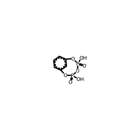 O=P1(O)Oc2cccc(c2)OP(=O)(O)O1